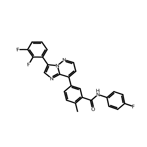 Cc1ccc(-c2ccnn3c(-c4cccc(F)c4F)cnc23)cc1C(=O)Nc1ccc(F)cc1